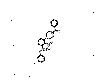 O=C(c1ccccc1)N1CCN(c2cccc(NCc3ccccc3)c2[N+](=O)[O-])CC1